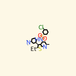 CCc1sc2nc(C)cc(NS(=O)(=O)c3cccc(Cl)c3)c2c1-c1cccc(N(C)C)c1